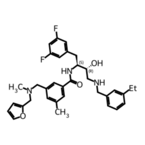 CCc1cccc(CNC[C@@H](O)[C@H](Cc2cc(F)cc(F)c2)NC(=O)c2cc(C)cc(CN(C)Cc3ccco3)c2)c1